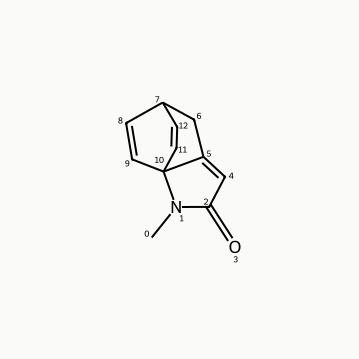 CN1C(=O)C=C2CC3C=CC21C=C3